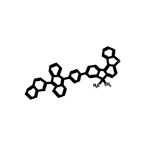 CC1(C)c2cc(-c3ccc(-c4c5ccccc5c(-c5ccc6ccccc6c5)c5ccccc45)cc3)ccc2-c2c1ccc1sc3ccccc3c21